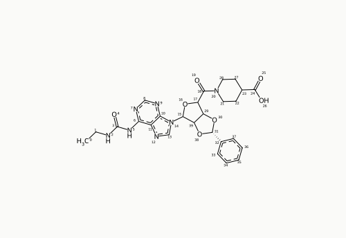 CCNC(=O)Nc1ncnc2c1ncn2C1OC(C(=O)N2CCC(C(=O)O)CC2)C2O[C@H](c3ccccc3)OC21